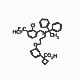 CC(c1ccccc1)(c1ccccc1)N(CCCOc1cccc(C2(C(=O)O)CCC2)c1)Cc1cccc(C(F)(F)F)c1Cl.Cl